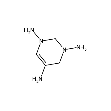 NC1=CN(N)CN(N)C1